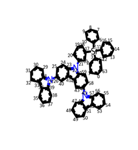 c1ccc([Si](c2ccccc2)(c2ccccc2)c2cccc(-n3c4ccc(-n5c6ccccc6c6ccccc65)cc4c4cc(-n5c6ccccc6c6ccccc65)ccc43)c2)cc1